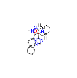 Cn1nc2c(c1-c1ccccc1)C[C@H]1CCC[C@@H]2N1C(=O)c1ncn(-c2ccccc2)n1